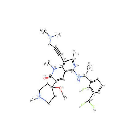 CC(=O)N1CCC(OC(C)C)(c2cc3c(N[C@H](C)c4cccc(C(F)F)c4F)nc(C)c(C#CCN(C)C)c3n(C)c2=O)CC1